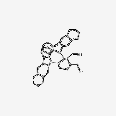 N=Cc1ccc(-n2c3ccccc3c3cc4ccccc4cc32)c(-n2c3ccccc3c3cc4ccccc4cc32)c1C=N